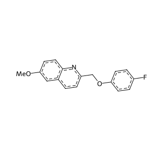 COc1ccc2nc(COc3ccc(F)cc3)ccc2c1